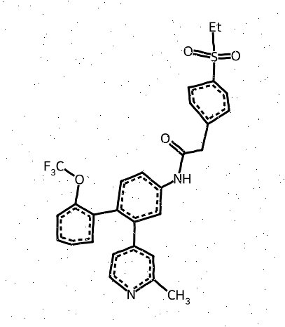 CCS(=O)(=O)c1ccc(CC(=O)Nc2ccc(-c3ccccc3OC(F)(F)F)c(-c3ccnc(C)c3)c2)cc1